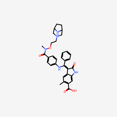 Cc1cc2c(cc1C(=O)O)NC(=O)C2=C(Nc1ccc(C(=O)N(C)OCCN2CC3CCC(C2)N3)cc1)c1ccccc1